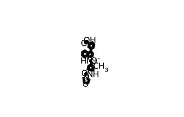 Cc1cc(NC(=O)N2CCOCC2)ccc1[S+]([O-])Nc1ccc(-c2cccc(C(=O)O)c2)c2ccccc12